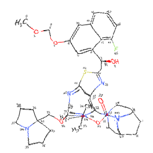 COCOc1cc([C@@H](O)c2nc3c(N4CC5CCC(C4)N5C(=O)OC(C)(C)C)nc(OCC45CCCN4CCC5)nc3s2)c2c(F)cccc2c1